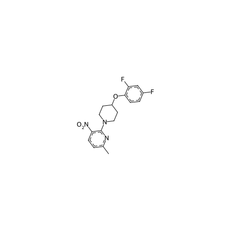 Cc1ccc([N+](=O)[O-])c(N2CCC(Oc3ccc(F)cc3F)CC2)n1